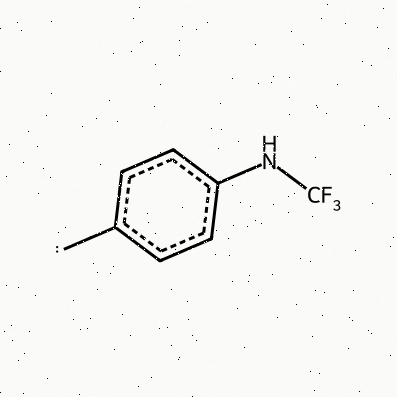 [CH]c1ccc(NC(F)(F)F)cc1